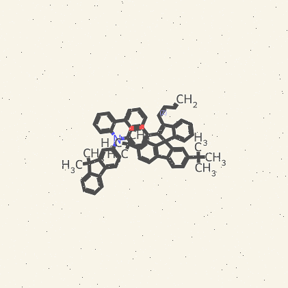 C=C/C=C\C1=C(c2ccc(N(c3ccc4c(c3)C(C)(C)c3ccccc3-4)c3ccccc3-c3ccccc3)cc2)C2(c3ccccc31)c1cc(C(C)(C)C)ccc1-c1ccc(C(C)(C)C)cc12